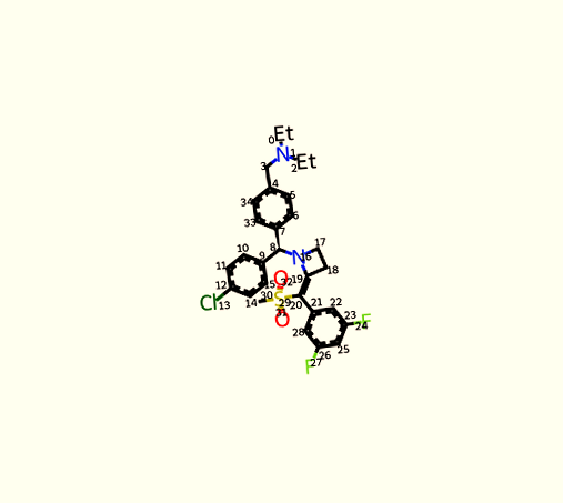 CCN(CC)Cc1ccc([C@H](c2ccc(Cl)cc2)N2CCC2=C(c2cc(F)cc(F)c2)S(C)(=O)=O)cc1